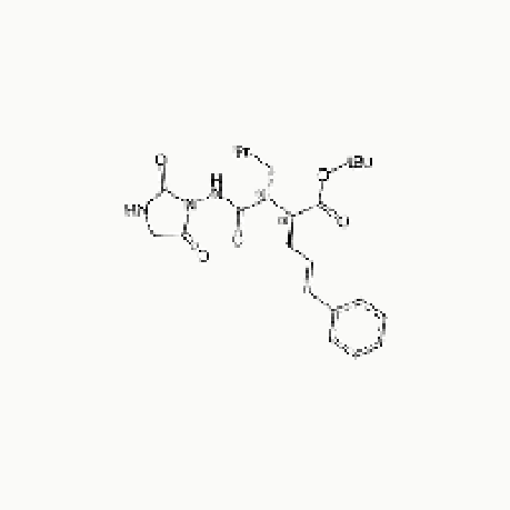 CC(C)C[C@@H](C(=O)NN1C(=O)CNC1=O)[C@H](CC=Cc1ccccc1)C(=O)OC(C)(C)C